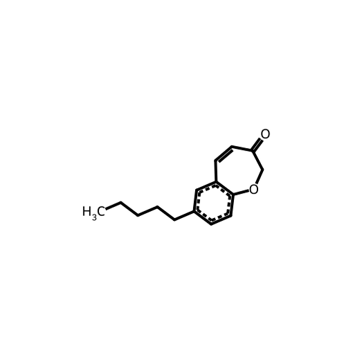 CCCCCc1ccc2c(c1)C=CC(=O)CO2